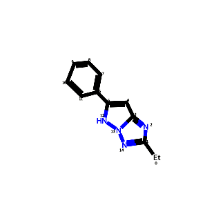 CCc1nc2cc(-c3ccccc3)[nH]n2n1